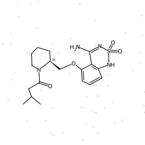 CC(C)CC(=O)N1CCCC[C@H]1COc1cccc2c1C(N)=NS(=O)(=O)N2